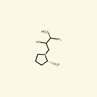 NC(C(=O)O)C(O)CN1CCC[C@H]1C(=O)O